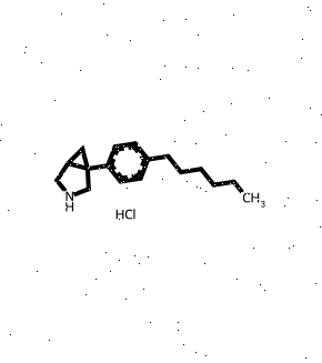 CCCCCCc1ccc(C23CNCC2C3)cc1.Cl